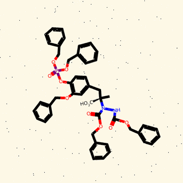 C[C@](Cc1ccc(OP(=O)(OCc2ccccc2)OCc2ccccc2)c(OCc2ccccc2)c1)(C(=O)O)N(NC(=O)OCc1ccccc1)C(=O)OCc1ccccc1